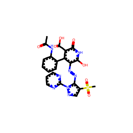 CC(=O)Nc1ccccc1-c1c(/N=N/c2c(S(C)(=O)=O)cnn2-c2ncccn2)c(O)[nH]c(=O)c1C(=O)O